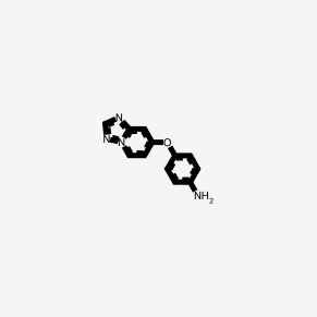 Nc1ccc(Oc2ccn3ncnc3c2)cc1